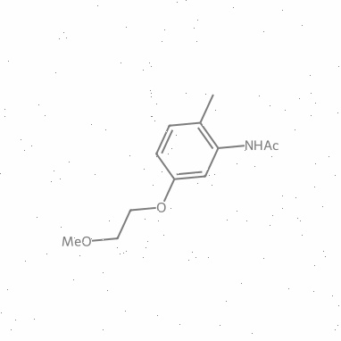 COCCOc1ccc(C)c(NC(C)=O)c1